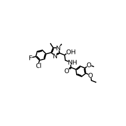 CCOc1ccc(C(=O)NCC(O)c2nc(-c3ccc(F)c(Cl)c3)c(C)n2C)cc1OC